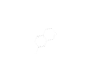 CC(C)(C)c1ccc2c(c1)C=NCC2